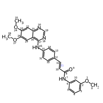 COc1cccc(NC(=O)/C=C/c2ccc(Nc3ncnc4cc(OC)c(OC)cc34)cc2)c1